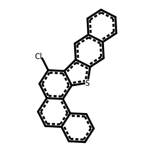 Clc1cc2ccc3ccccc3c2c2sc3cc4ccccc4cc3c12